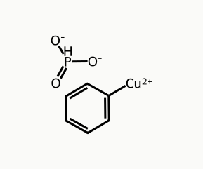 O=[PH]([O-])[O-].[Cu+2][c]1ccccc1